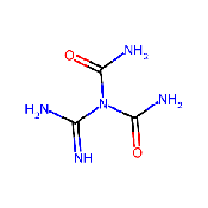 N=C(N)N(C(N)=O)C(N)=O